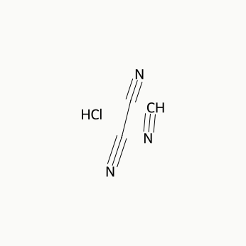 C#N.Cl.N#CC#N